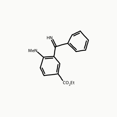 CCOC(=O)c1ccc(NC)c(C(=N)c2ccccc2)c1